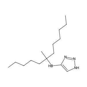 CCCCCCC(C)(Bc1c[nH]nn1)CCCCC